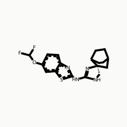 FC(F)Oc1ccc2nc(NC3=N[C@]4(CN3)CC3CCC4CC3)sc2c1